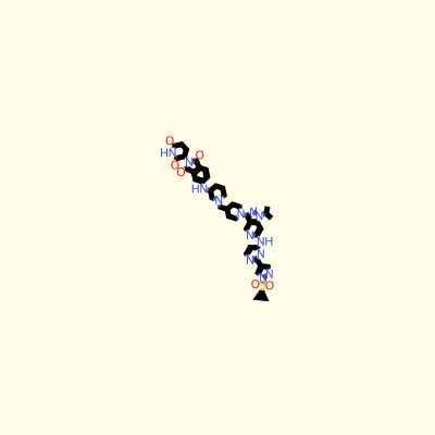 CC(C)n1nc(N2CCC(CN3CCCC(Nc4ccc5c(c4)C(=O)N(C4CCC(=O)NC4=O)C5=O)C3)CC2)c2cnc(Nc3ccnc(-c4cnn(S(=O)(=O)C5CC5)c4)n3)cc21